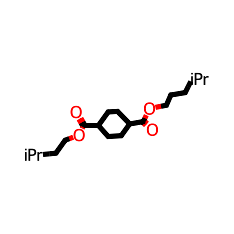 CC(C)CCCOC(=O)C1CCC(C(=O)OCCC(C)C)CC1